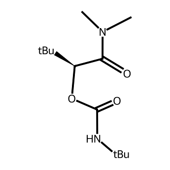 CN(C)C(=O)[C@@H](OC(=O)NC(C)(C)C)C(C)(C)C